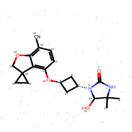 CC1(C)NC(=O)N([C@H]2C[C@H](Oc3ccc(C#N)c4c3C3(CC3)CO4)C2)C1O